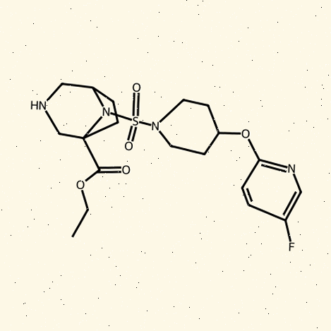 CCOC(=O)C12CCC(CNC1)N2S(=O)(=O)N1CCC(Oc2ccc(F)cn2)CC1